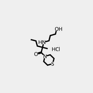 CCCC(C)(NCCCO)C(=O)N1CCSCC1.Cl